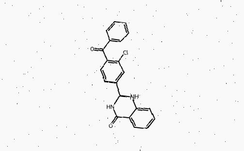 O=C(c1ccccc1)c1ccc(C2NC(=O)c3ccccc3N2)cc1Cl